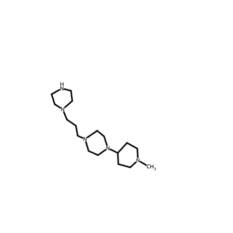 CN1CCC(N2CCN(CCCN3CCNCC3)CC2)CC1